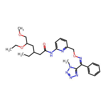 CCOC(COC)CC(CC)CC(=O)Nc1cccc(CO/N=C(/c2ccccc2)c2nnnn2C)n1